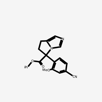 COc1cc(C#N)ccc1C1(C(=O)OC(C)C)CCc2cncn21